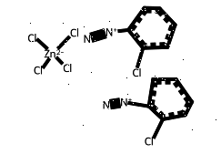 N#[N+]c1ccccc1Cl.N#[N+]c1ccccc1Cl.[Cl][Zn-2]([Cl])([Cl])[Cl]